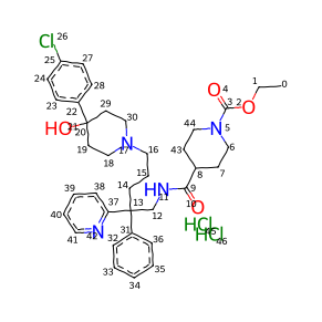 CCOC(=O)N1CCC(C(=O)NCC(CCCN2CCC(O)(c3ccc(Cl)cc3)CC2)(c2ccccc2)c2ccccn2)CC1.Cl.Cl